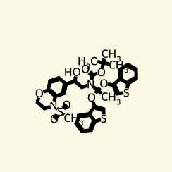 CC(C)(C)OC(=O)N(CC(O)c1ccc2c(c1)N(S(C)(=O)=O)CCO2)C(C)(Oc1csc2ccccc12)Oc1csc2ccccc12